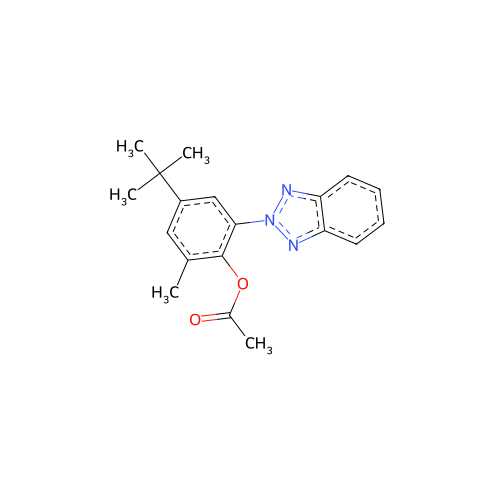 CC(=O)Oc1c(C)cc(C(C)(C)C)cc1-n1nc2ccccc2n1